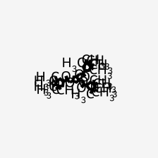 CN1C(C)(C)CC(C(=O)OC2CC(OC(=O)C3CC(C)(C)N(C)C(C)(C)C3)C(OC(=O)C3CC(C)(C)N(C)C(C)(C)C3)C2)CC1(C)C